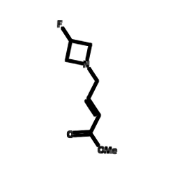 COC(=O)/C=C/CN1CC(F)C1